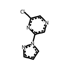 Clc1cncc(-n2cccn2)n1